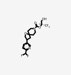 O=C(O[C@H](CO)C(F)(F)F)N1CCC2(CC1)CC(c1ccc(C(F)F)nc1)CO2